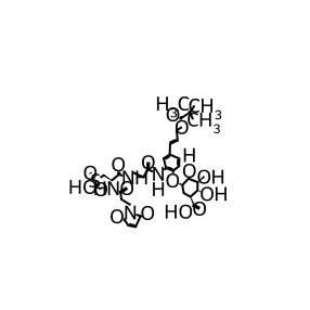 CC(C)(C)C(=O)OC/C=C/c1ccc(O[C@@H]2C[C@H](C(=O)O)[C@@H](O)[C@H](O)[C@H]2O)c(NC(=O)CCNC(=O)[C@H](CS(=O)(=O)O)NC(=O)CCN2C(=O)C=CC2=O)c1